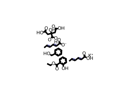 C/C=C/C=C/C(=O)O.C/C=C/C=C/C(=O)[O-].CCOC(=O)c1ccccc1O.O=C(O)CC(O)(CC(=O)O)C(=O)O.OCc1ccccc1.[K+]